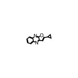 c1ccc2nc3oc(C4CC4)cc3nc2c1